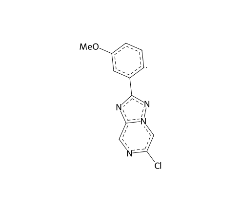 COc1cc[c]c(-c2nc3cnc(Cl)cn3n2)c1